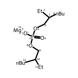 CCCCC(CC)COP(=O)([O-])OCC(CC)CCCC.[Mg+]